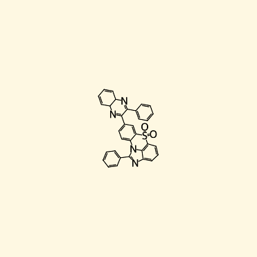 O=S1(=O)c2cc(C3=NC4C=CC=CC4N=C3c3ccccc3)ccc2-n2c(-c3ccccc3)nc3cccc1c32